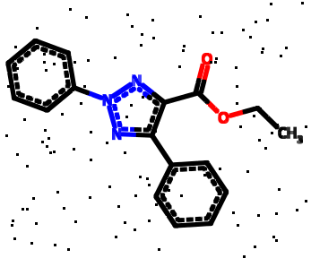 CCOC(=O)c1nn(-c2ccccc2)nc1-c1ccccc1